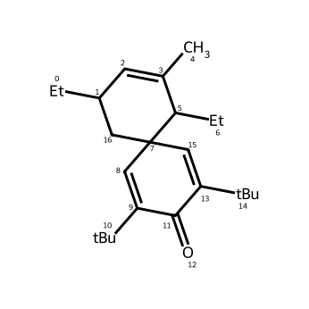 CCC1C=C(C)C(CC)C2(C=C(C(C)(C)C)C(=O)C(C(C)(C)C)=C2)C1